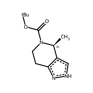 C[C@H]1c2c[nH]nc2CCN1C(=O)OC(C)(C)C